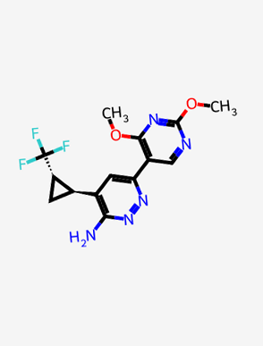 COc1ncc(-c2cc([C@H]3C[C@@H]3C(F)(F)F)c(N)nn2)c(OC)n1